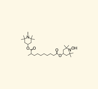 CC(CCCCCCCC(=O)OC1CC(C)(C)N(O)C(C)(C)C1)C(=O)OC1CC(C)(C)N(I)C(C)(C)C1